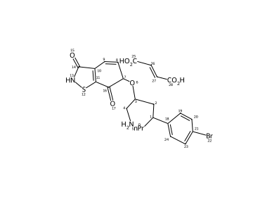 CCCC(CC(CN)OC1C=Cc2c(s[nH]c2=O)C1=O)c1ccc(Br)cc1.O=C(O)/C=C/C(=O)O